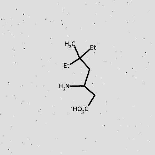 CCC(C)(CC)CC(N)CC(=O)O